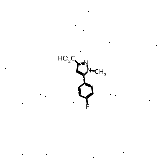 Cn1nc(C(=O)O)cc1-c1ccc(F)cc1